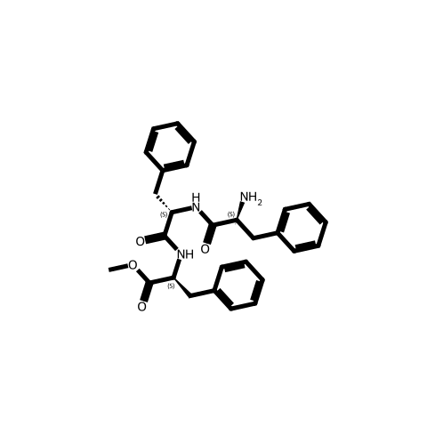 COC(=O)[C@H](Cc1ccccc1)NC(=O)[C@H](Cc1ccccc1)NC(=O)[C@@H](N)Cc1ccccc1